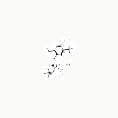 CCc1cc(O)c(C(C)(C)C)cc1COP(=O)(O)OC(C)(C)C.[Ni]